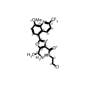 COc1ccc(-c2nc(C(=O)NCCCl)c([C@H](C)N)o2)c2ccc(C(F)(F)F)nc12